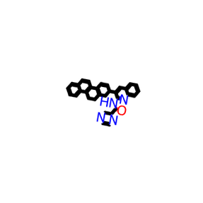 O=C(Nc1nc2ccccc2cc1C1C=CC2=C(CCc3c2ccc2ccccc32)C1)c1cnccn1